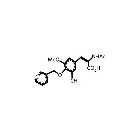 COc1cc(/C=C(/NC(C)=O)C(=O)O)cc(C)c1OCc1ccccc1